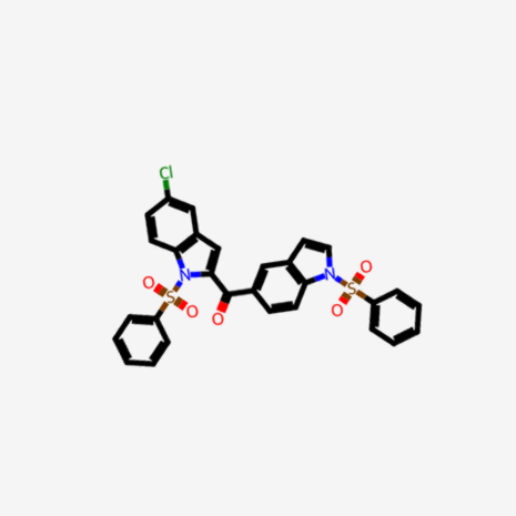 O=C(c1ccc2c(ccn2S(=O)(=O)c2ccccc2)c1)c1cc2cc(Cl)ccc2n1S(=O)(=O)c1ccccc1